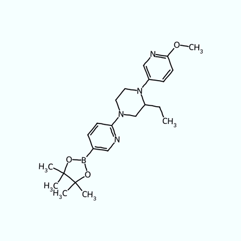 CCC1CN(c2ccc(B3OC(C)(C)C(C)(C)O3)cn2)CCN1c1ccc(OC)nc1